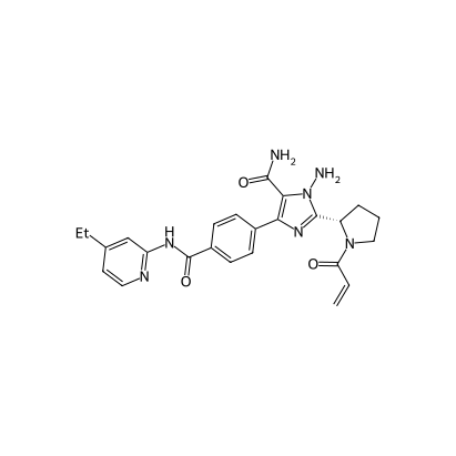 C=CC(=O)N1CCC[C@H]1c1nc(-c2ccc(C(=O)Nc3cc(CC)ccn3)cc2)c(C(N)=O)n1N